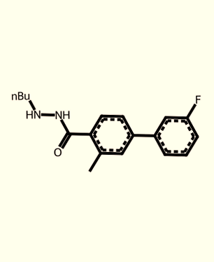 CCCCNNC(=O)c1ccc(-c2cccc(F)c2)cc1C